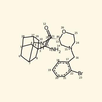 NC(=O)C12CC3CC(C1)C(NC(=O)[C@H]1CN(Cc4ccccc4Br)CCO1)C(C3)C2